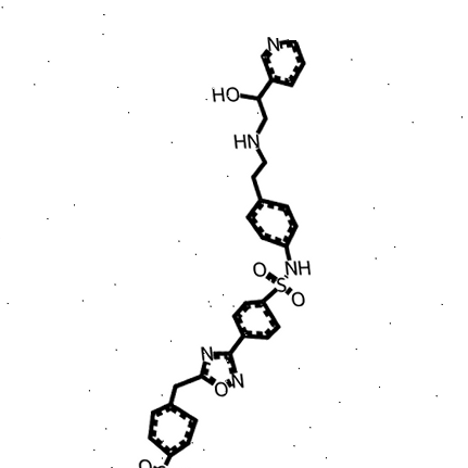 CS(=O)(=O)c1ccc(Cc2nc(-c3ccc(S(=O)(=O)Nc4ccc(CCNCC(O)c5cccnc5)cc4)cc3)no2)cc1